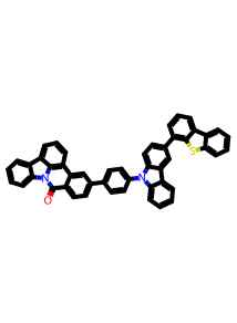 O=c1c2ccc(-c3ccc(-n4c5ccccc5c5cc(-c6cccc7c6sc6ccccc67)ccc54)cc3)cc2c2cccc3c4ccccc4n1c23